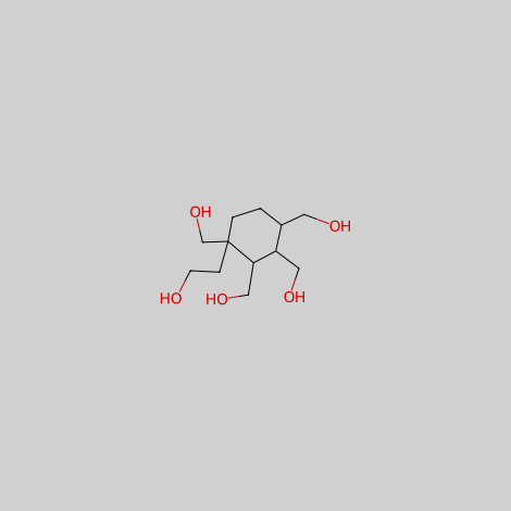 OCCC1(CO)CCC(CO)C(CO)C1CO